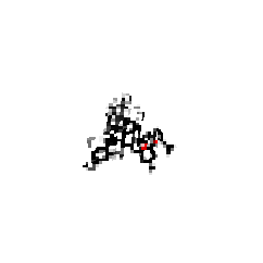 COc1cc(F)c2c(=O)n(-c3ccc(Cl)c4c(NS(C)(=O)=O)nn(C)c34)c(C(Cc3cc(F)cc(F)c3)NC(=O)Cn3ccc(C4CC4)n3)nc2c1